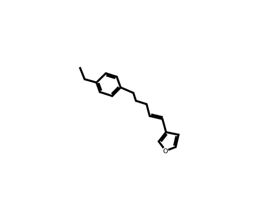 CCc1ccc(CCCC=Cc2ccoc2)cc1